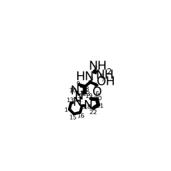 N=C(N)NC(C(=O)O)c1cnn(N2CCCCC2n2cccc2)c1